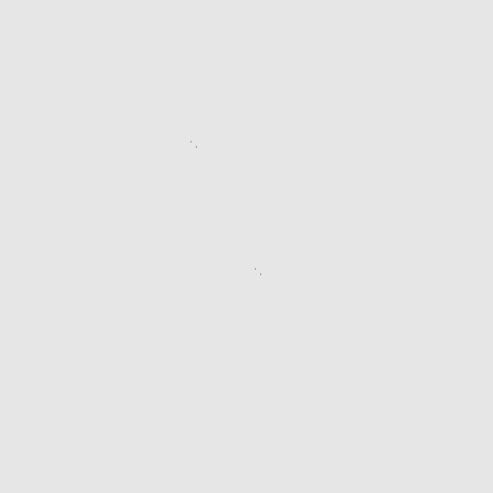 CNCCc1c(-c2ccc(CO)cc2)[nH]c2c1=C(C=O)CC(F)C=2